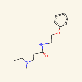 CCN(C)CCC(=O)NCCOc1ccccc1